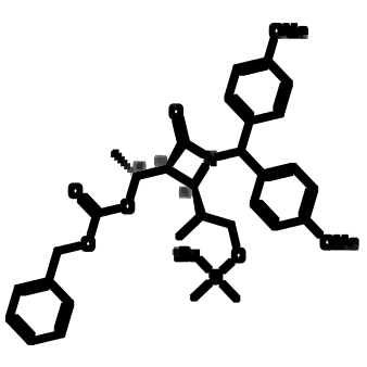 COc1ccc(C(c2ccc(OC)cc2)N2C(=O)[C@H]([C@@H](C)OC(=O)OCc3ccccc3)[C@@H]2C(C)CO[Si](C)(C)C(C)(C)C)cc1